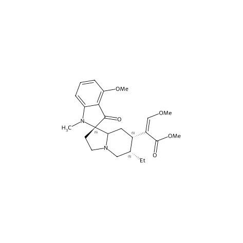 CC[C@@H]1CN2CC[C@@]3(C(=O)c4c(OC)cccc4N3C)C2C[C@@H]1C(=COC)C(=O)OC